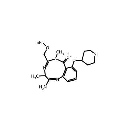 C=C1c2c(cccc2OC2CCNCC2)/N=C(/N)C(C)/N=C(/COCCC)N1C